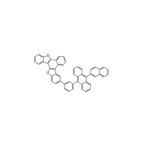 c1cc(-c2ccc3oc4c(c3c2)c2ccccc2c2oc3ccccc3c24)cc(-c2c3ccccc3c(-c3ccc4ccccc4c3)c3ccccc23)c1